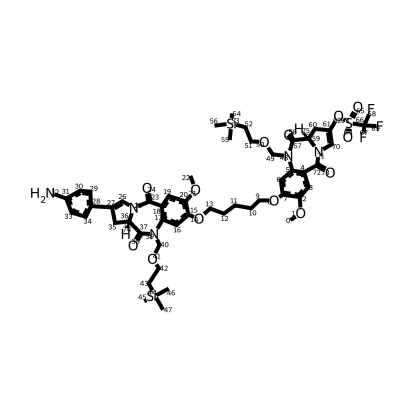 COc1cc2c(cc1OCCCCCOc1cc3c(cc1OC)C(=O)N1C=C(c4ccc(N)cc4)C[C@H]1C(=O)N3COCC[Si](C)(C)C)N(COCC[Si](C)(C)C)C(=O)[C@@H]1CC(OS(=O)(=O)C(F)(F)F)=CN1C2=O